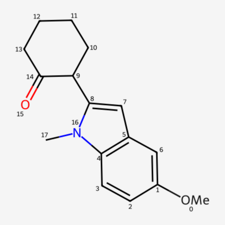 COc1ccc2c(c1)cc(C1CCCCC1=O)n2C